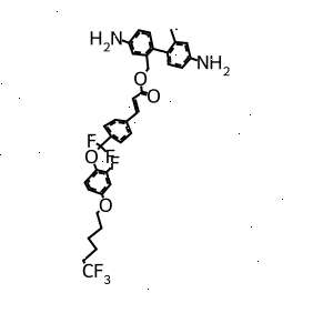 [CH2]c1cc(N)ccc1-c1ccc(N)cc1COC(=O)/C=C/c1ccc(C(F)(F)Oc2ccc(OCCCCCC(F)(F)F)cc2F)cc1